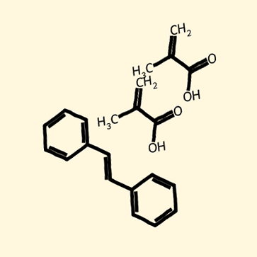 C(=Cc1ccccc1)c1ccccc1.C=C(C)C(=O)O.C=C(C)C(=O)O